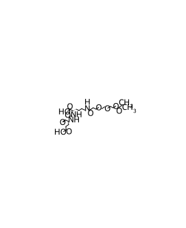 CC(C)C(=O)OCCOCCOCCC(=O)NCCCC[C@H](NC(=O)N[C@H](C=O)CCC(=O)O)C(=O)O